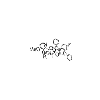 COc1ccnc(C(=O)N[C@@H](C)C(=O)O[C@@H](C)[C@H](Oc2ccccc2)c2ccc(F)cc2Oc2ccccc2)c1O